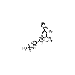 CC(C)CNC(=O)[C@H](C(C)C)[C@@H](O)[C@H](O)[C@H](CC(C)C)NC(=O)c1coc(NS(C)(=O)=O)n1